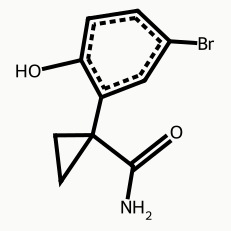 NC(=O)C1(c2cc(Br)ccc2O)CC1